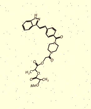 COC(C)C(=O)OC(C)C(=O)OCC(=O)N1CCN(C(=O)c2ccc(/C=C/c3n[nH]c4ccccc34)cc2)CC1